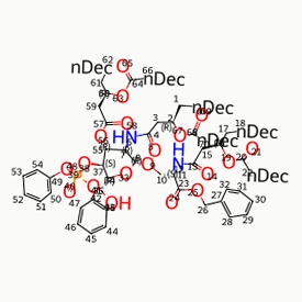 CCCCCCCCCCC[C@H](CC(=O)N[C@H]1[C@H](OC[C@H](NC(=O)C[C@@H](CCCCCCCCCCC)OC(=O)CCCCCCCCCC)C(=O)OCc2ccccc2)O[C@H](CO)[C@@H](OP(=O)(Oc2ccccc2)Oc2ccccc2)[C@@H]1OC(=O)C[C@@H](CCCCCCCCCCC)OC(=O)CCCCCCCCCC)OC(=O)CCCCCCCCCC